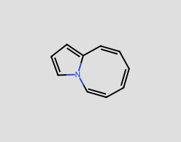 C1=C\C=C/n2cccc2\C=C/1